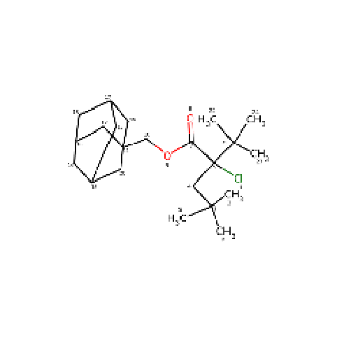 CC(C)(C)CC(Cl)(C(=O)OCC12CC3CC(CC(C3)C1)C2)C(C)(C)C